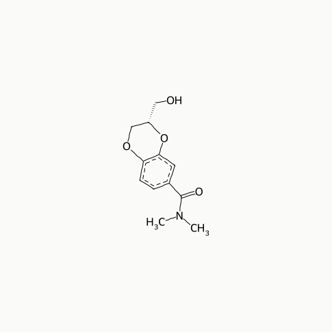 CN(C)C(=O)c1ccc2c(c1)O[C@@H](CO)CO2